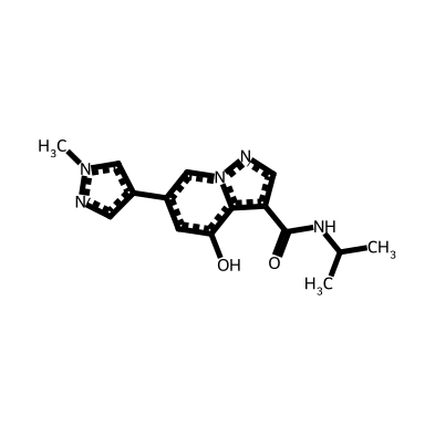 CC(C)NC(=O)c1cnn2cc(-c3cnn(C)c3)cc(O)c12